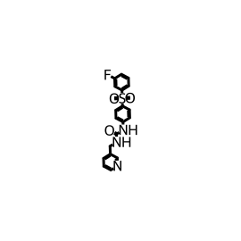 O=C(NCc1cccnc1)Nc1ccc(S(=O)(=O)c2cccc(F)c2)cc1